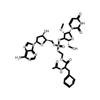 CO[C@H]1C(OP(=O)(OC[C@H]2O[C@@H](n3cnc4c(N)ncnc43)C[C@H]2O)SCOC(=O)C(Cc2ccccc2)NC(C)=O)[C@@H](CO)O[C@H]1n1ccc(=O)[nH]c1=O